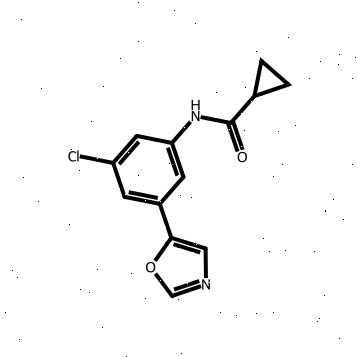 O=C(Nc1cc(Cl)cc(-c2cnco2)c1)C1CC1